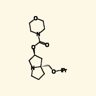 CC(C)OC[C@]12CCCN1C[C@@H](OC(=O)N1CCOCC1)C2